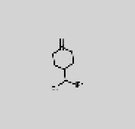 CCC(C(C)C)C1CCNCC1